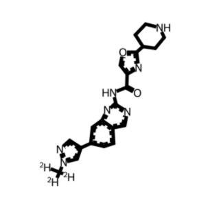 [2H]C([2H])([2H])n1cc(-c2ccc3cnc(NC(=O)c4coc(C5CCNCC5)n4)nc3c2)cn1